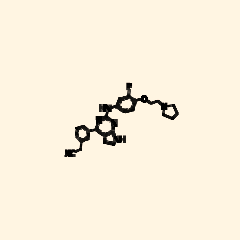 N#CCc1cccc(-c2nc(Nc3ccc(OCCN4CCCC4)c(F)c3)nc3[nH]ccc23)c1